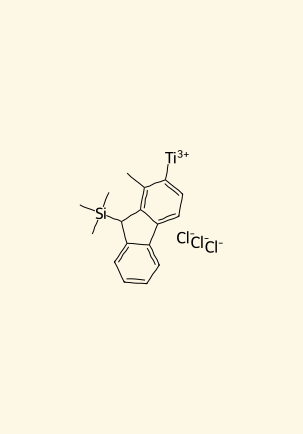 Cc1[c]([Ti+3])ccc2c1C([Si](C)(C)C)c1ccccc1-2.[Cl-].[Cl-].[Cl-]